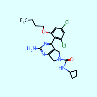 Nc1nc2c(c(-c3c(Cl)cc(Cl)cc3OCCCC(F)(F)F)n1)CN(C(=O)NC1CCC1)C2